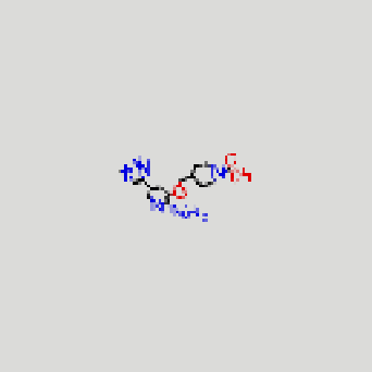 Cn1cc(-c2cnc(N)c(OCC3CCN(C(=O)O)CC3)c2)nn1